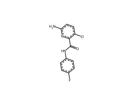 Nc1ccc(Cl)c(C(=O)Nc2ccc(F)cc2)n1